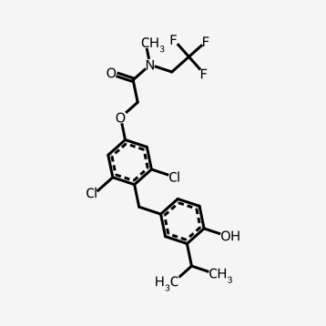 CC(C)c1cc(Cc2c(Cl)cc(OCC(=O)N(C)CC(F)(F)F)cc2Cl)ccc1O